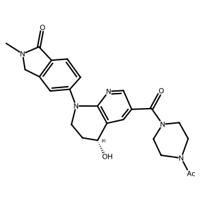 CC(=O)N1CCN(C(=O)c2cnc3c(c2)[C@H](O)CCN3c2ccc3c(c2)CN(C)C3=O)CC1